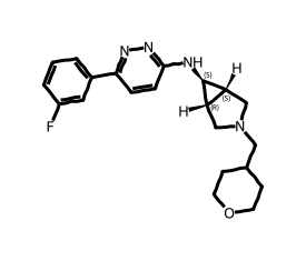 Fc1cccc(-c2ccc(N[C@H]3[C@@H]4CN(CC5CCOCC5)C[C@@H]43)nn2)c1